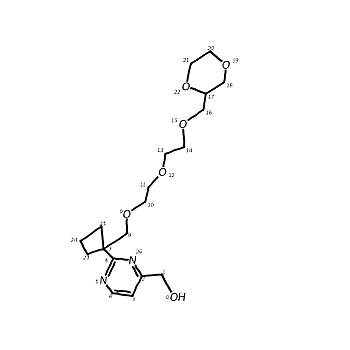 OCc1ccnc(C2(COCCOCCOCC3COCCO3)CCC2)n1